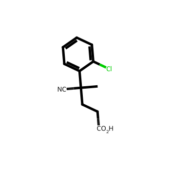 CC(C#N)(CCC(=O)O)c1ccccc1Cl